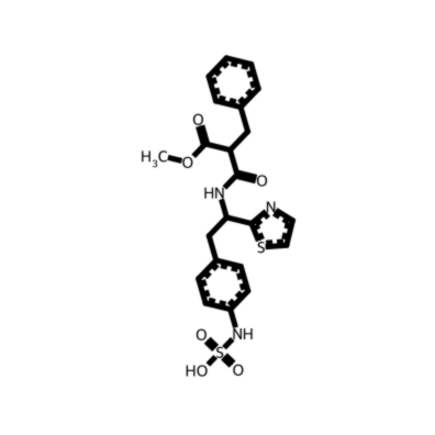 COC(=O)C(Cc1ccccc1)C(=O)NC(Cc1ccc(NS(=O)(=O)O)cc1)c1nccs1